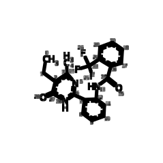 CCc1c(C)nc(-c2ccccc2NC(=O)c2ccccc2C(F)(F)F)[nH]c1=O